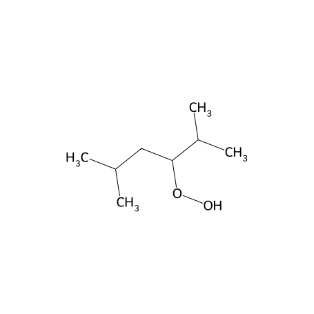 CC(C)CC(OO)C(C)C